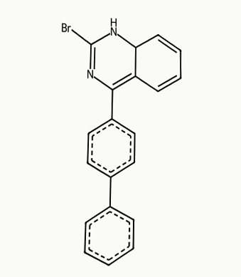 BrC1=NC(c2ccc(-c3ccccc3)cc2)=C2C=CC=CC2N1